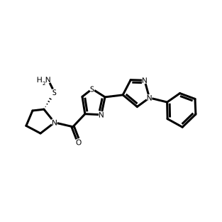 NS[C@H]1CCCN1C(=O)c1csc(-c2cnn(-c3ccccc3)c2)n1